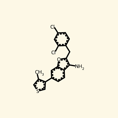 Cc1cscc1-c1ccc2c(N)c(Cc3ccc(Cl)cc3Cl)oc2c1